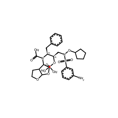 Nc1cccc(S(=O)(=O)N(C[C@@H](OP(=O)(O)O)[C@H](Cc2ccccc2)N(C(=O)O)C2COC3OCCC32)OC2CCCC2)c1